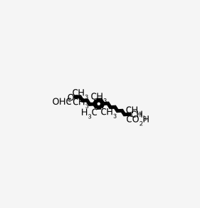 Cc1cc(CCCCCCC(C)(C)C(=O)O)c(C)c(C)c1CCCCC(C)(C)OC=O